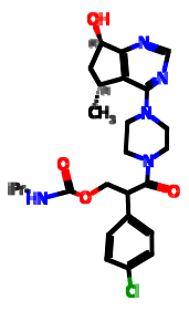 CC(C)NC(=O)OCC(C(=O)N1CCN(c2ncnc3c2[C@H](C)C[C@H]3O)CC1)c1ccc(Cl)cc1